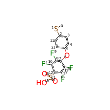 CSc1ccc(Oc2c(F)c(F)c(S(=O)(=O)O)c(F)c2F)cc1